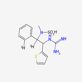 [2H]c1ccccc1C([2H])([C](NC(=N)N)c1cccs1)N(C)S(=O)(=O)O